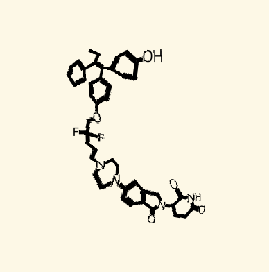 CCC(=C(c1ccc(O)cc1)c1ccc(OCC(F)(F)CCCN2CCN(c3ccc4c(c3)CN(C3CCC(=O)NC3=O)C4=O)CC2)cc1)c1ccccc1